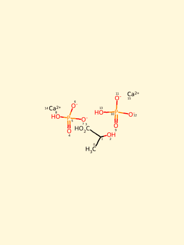 CC(O)C(=O)O.O=P([O-])([O-])O.O=P([O-])([O-])O.[Ca+2].[Ca+2]